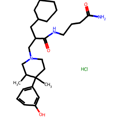 CC1CN(CC(CC2CCCCC2)C(=O)NCCCC(N)=O)CCC1(C)c1cccc(O)c1.Cl